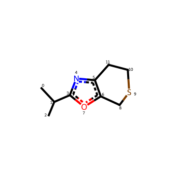 CC(C)c1nc2c(o1)CSCC2